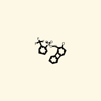 O=S(=O)(O[I+]c1c(Cl)ccc2c1-c1ccccc1-2)c1ccccc1C(F)(F)F